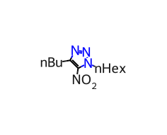 CCCCCCn1nnc(CCCC)c1[N+](=O)[O-]